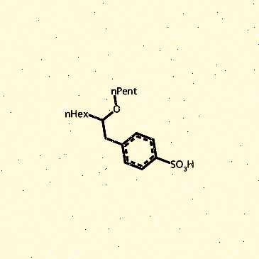 CCCCCCC(Cc1ccc(S(=O)(=O)O)cc1)OCCCCC